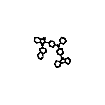 c1ccc(N(c2ccc(-c3nc4ccccc4n3-c3ccc4ccccc4c3)cc2)c2ccc(-n3c4ccccc4c4ccccc43)cc2)cc1